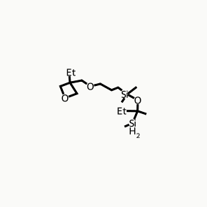 CCC1(COCCC[Si](C)(C)OC(C)(CC)[SiH2]C)COC1